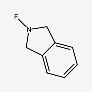 FN1Cc2ccccc2C1